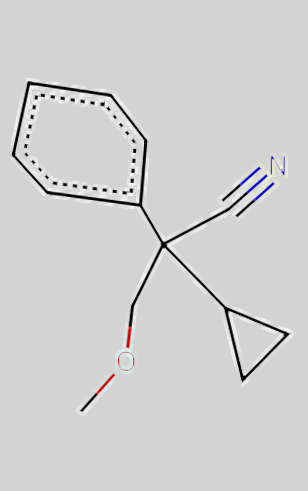 COCC(C#N)(c1ccccc1)C1CC1